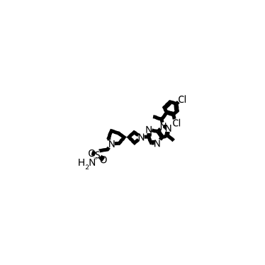 Cc1nn(C(C)c2ccc(Cl)cc2Cl)c2nc(N3CC([C@H]4CCCN(CCS(N)(=O)=O)C4)C3)cnc12